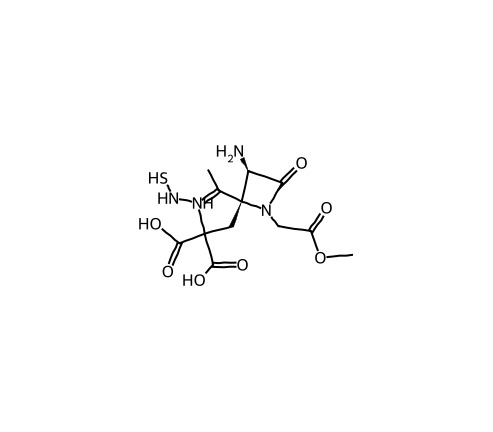 C=C(C)[C@]1(CC(NNS)(C(=O)O)C(=O)O)[C@@H](N)C(=O)N1CC(=O)OC